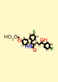 O=C(O)COc1ccc([C@@]2(c3ccc(F)cc3)NC(=O)[C@@H]2CC[C@H](O)c2ccc(F)cc2)cc1